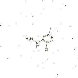 Cc1ccc(Cl)c(NN)c1